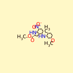 CCOC(=O)c1cc2c(Nc3cc(OC)ccc3C)ccc([N+](=O)[O-])c2[nH]1